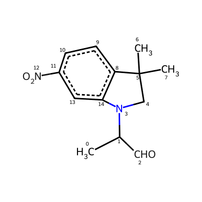 CC(C=O)N1CC(C)(C)c2ccc([N+](=O)[O-])cc21